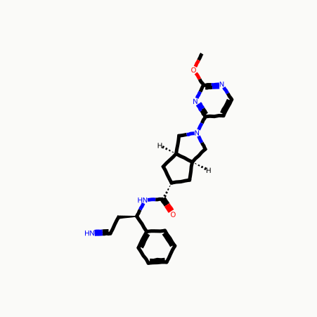 COc1nccc(N2C[C@H]3C[C@H](C(=O)N[C@H](CC=N)c4ccccc4)C[C@H]3C2)n1